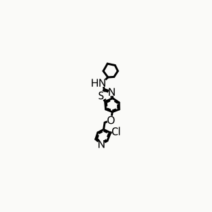 Clc1cnccc1COc1ccc2nc(NC3CCCCC3)sc2c1